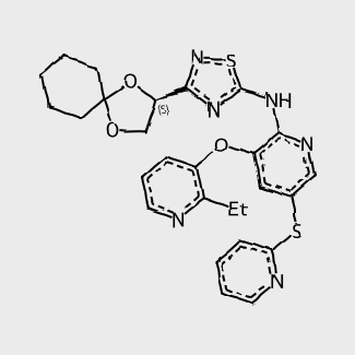 CCc1ncccc1Oc1cc(Sc2ccccn2)cnc1Nc1nc([C@H]2COC3(CCCCC3)O2)ns1